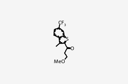 COCCC(=O)c1sc2cc(C(F)(F)F)ccc2c1C